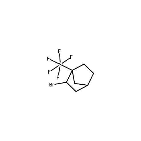 FS(F)(F)(F)(F)C12CCC(CC1Br)C2